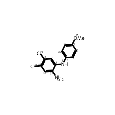 COc1ccc(Nc2cc(Cl)c(Cl)cc2N)cc1